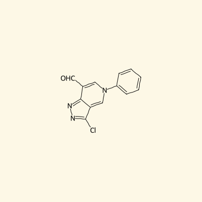 O=Cc1cn(-c2ccccc2)cc2c(Cl)nnc1-2